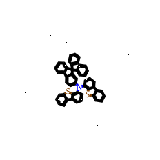 c1ccc(C2(c3ccccc3)c3ccccc3-c3ccc(N(c4cccc5c4sc4ccccc45)c4cccc5c4sc4ccccc45)cc32)cc1